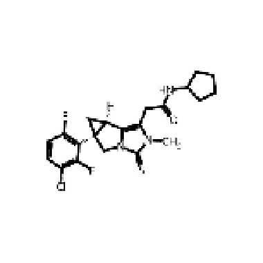 Cn1c(CC(=O)NC2CCCC2)c2n(c1=S)C[C@@]1(c3c(F)ccc(Cl)c3F)C[C@@H]21